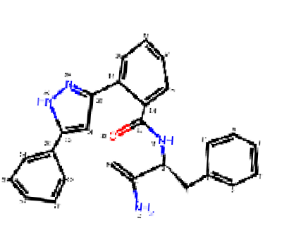 C=C(N)[C@H](Cc1ccccc1)NC(=O)c1ccccc1-c1cc(-c2ccccc2)[nH]n1